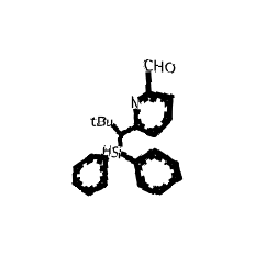 CC(C)(C)C(c1cccc(C=O)n1)[SiH](c1ccccc1)c1ccccc1